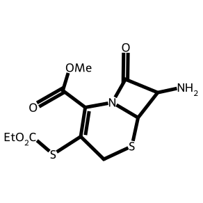 CCOC(=O)SC1=C(C(=O)OC)N2C(=O)C(N)C2SC1